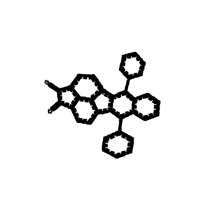 O=c1c(=O)c2ccc3c4c(-c5ccccc5)c5ccccc5c(-c5ccccc5)c4c4ccc1c2c43